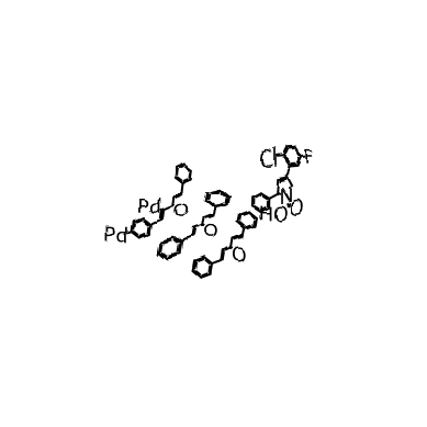 O=C(C=Cc1ccccc1)C=Cc1ccccc1.O=C(C=Cc1ccccc1)C=Cc1ccccc1.O=C(C=Cc1ccccc1)[C]([Pd])=Cc1cc[c]([Pd])cc1.O=C(O)N1CC(c2cc(F)ccc2Cl)=CC1c1ccccc1